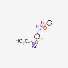 CC(=O)N(CCC(=O)O)Oc1ccc(CCNS(=O)(=O)c2ccccc2)cc1F